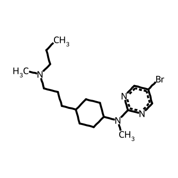 CCCN(C)CCCC1CCC(N(C)c2ncc(Br)cn2)CC1